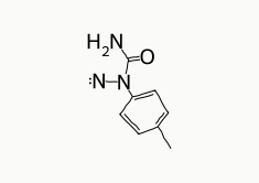 Cc1ccc(N([N])C(N)=O)cc1